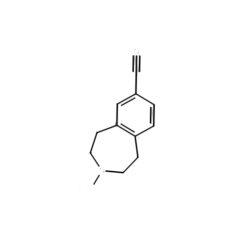 CN1CCc2ccc(C#N)cc2CC1